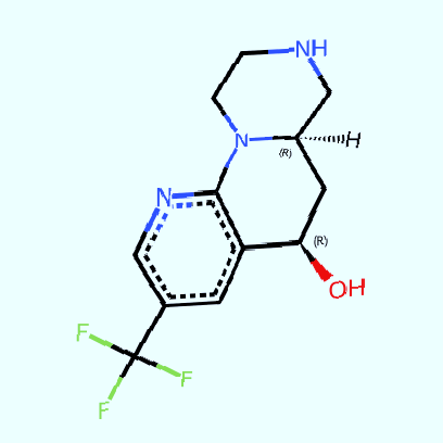 O[C@@H]1C[C@@H]2CNCCN2c2ncc(C(F)(F)F)cc21